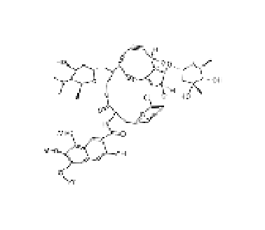 COc1c(OC(C)C)cc2cc(O)c(C(=O)NC3Cc4ccc(c(Cl)n4)O[C@H]4C=C5C#C/C(=C\C#C[C@@H]6O[C@]56[C@@H]4O[C@H]4C[C@@](C)(O)[C@@H](O)[C@H](C)O4)C(C[C@H]4C[C@H](O)[C@H](N(C)C)[C@H](C)O4)COC3=O)cc2c1OC